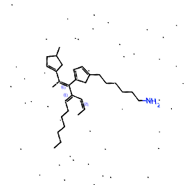 C\C=C/C(=C\CCCCCC)C(/C1=CC=C(CCCCCCN)C1)=C(\C)C1=CCC(C)C1